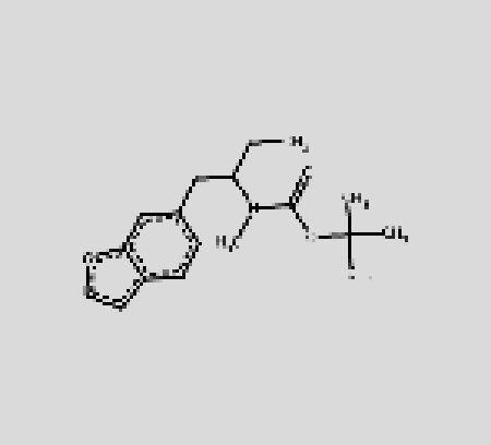 CCC(Cc1ccc2ccoc2c1)N(C)C(=O)OC(C)(C)C